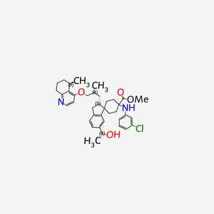 COC(=O)C1(Nc2cccc(Cl)c2)CCC2(CC1)c1cc([C@@H](C)O)ccc1C[C@@H]2C[C@@H](C)COc1ccnc2c1[C@H](C)CCC2